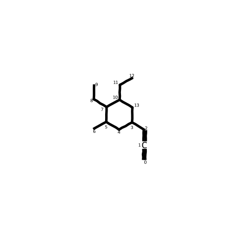 C=C=CC1CC(C)C(CC)C(CC)C1